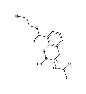 CCC(=O)N[C@H]1Cc2cccc(C(=O)OCCC(C)(C)C)c2OB1O